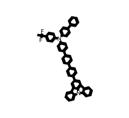 CC(F)(F)c1ccc(N(c2ccc(-c3ccccc3)cc2)c2ccc(-c3ccc(-c4ccc(-c5cc6c7ccccc7n7c8ccccc8c(c5)c67)cc4)cc3)cc2)cc1